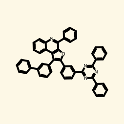 c1ccc(-c2cccc(-c3c(-c4cccc(-c5nc(-c6ccccc6)nc(-c6ccccc6)n5)c4)oc4c(-c5ccccc5)nc5ccccc5c34)c2)cc1